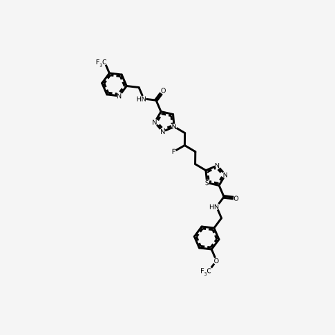 O=C(NCc1cc(C(F)(F)F)ccn1)c1cn(CC(F)CCc2nnc(C(=O)NCc3cccc(OC(F)(F)F)c3)s2)nn1